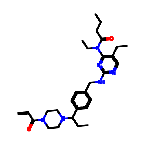 C=CC(=O)N1CCN(C(CC)c2ccc(CNc3ncc(CC)c(N(CC)C(=O)CCC)n3)cc2)CC1